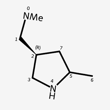 CNC[C@@H]1CNC(C)C1